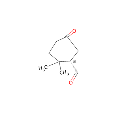 CC1(C)CCC(=O)C[C@@H]1C=O